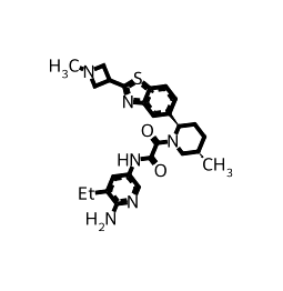 CCc1cc(NC(=O)C(=O)N2C[C@@H](C)CC[C@@H]2c2ccc3sc(C4CN(C)C4)nc3c2)cnc1N